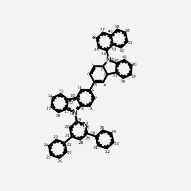 C1=CC2C(C=C1c1ccc3c(c1)c1ccccc1n3-c1cc(-c3ccccc3)cc(-c3ccccc3)n1)c1ccccc1N2c1cccc2ccccc12